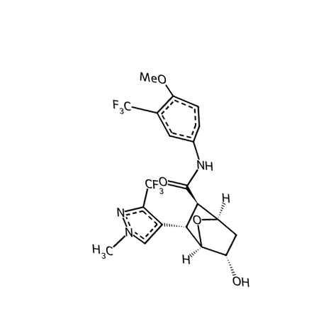 COc1ccc(NC(=O)[C@@H]2[C@@H](c3cn(C)nc3C(F)(F)F)[C@H]3O[C@@H]2C[C@@H]3O)cc1C(F)(F)F